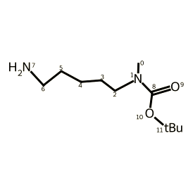 CN(CCCCCN)C(=O)OC(C)(C)C